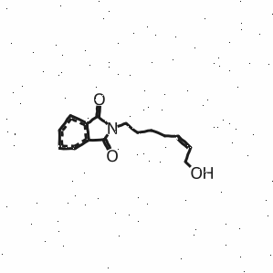 O=C1c2ccccc2C(=O)N1CCCC/C=C\CO